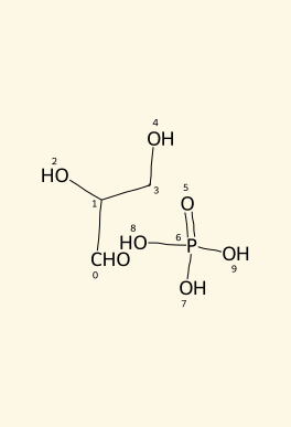 O=CC(O)CO.O=P(O)(O)O